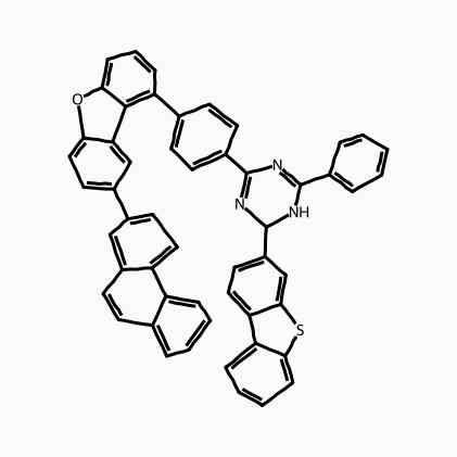 c1ccc(C2=NC(c3ccc(-c4cccc5oc6ccc(-c7ccc8c(ccc9ccccc98)c7)cc6c45)cc3)=NC(c3ccc4c(c3)sc3ccccc34)N2)cc1